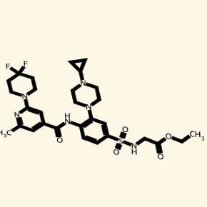 CCOC(=O)CNS(=O)(=O)c1ccc(NC(=O)c2cc(C)nc(N3CCC(F)(F)CC3)c2)c(N2CCN(C3CC3)CC2)c1